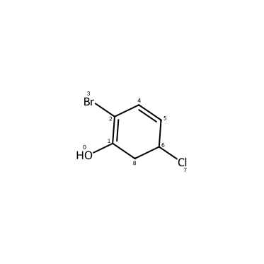 OC1=C(Br)C=CC(Cl)C1